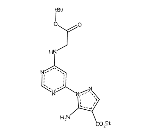 CCOC(=O)c1cnn(-c2cc(NCC(=O)OC(C)(C)C)ncn2)c1N